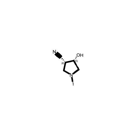 N#C[C@H]1CN(I)C[C@H]1O